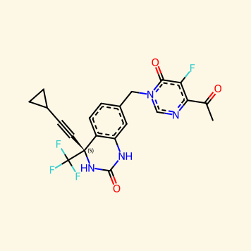 CC(=O)c1ncn(Cc2ccc3c(c2)NC(=O)N[C@]3(C#CC2CC2)C(F)(F)F)c(=O)c1F